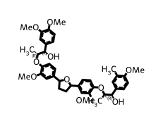 COc1ccc([C@@H](O)[C@@H](C)Oc2ccc(C3CCC(c4ccc(O[C@H](C)[C@H](O)c5ccc(OC)c(OC)c5)c(OC)c4)O3)cc2OC)cc1C